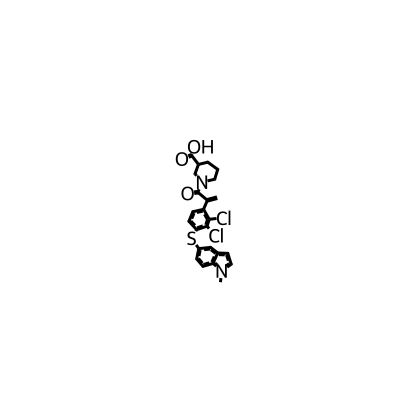 C=C(C(=O)N1CCCC(C(=O)O)C1)c1ccc(Sc2ccc3c(ccn3C)c2)c(Cl)c1Cl